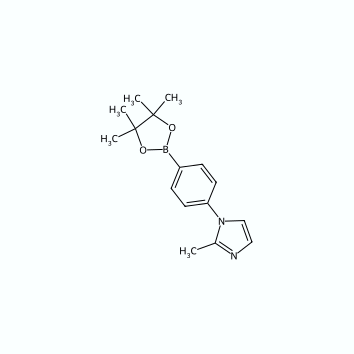 Cc1nccn1-c1ccc(B2OC(C)(C)C(C)(C)O2)cc1